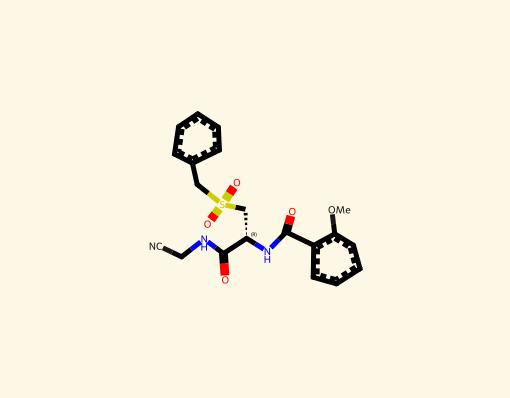 COc1ccccc1C(=O)N[C@@H](CS(=O)(=O)Cc1ccccc1)C(=O)NCC#N